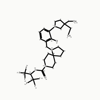 CCC1(CC)CCN(c2cccc(CN3CCCC34CCN(C(=O)OC(C(F)(F)F)C(F)(F)F)CC4)c2Cl)C1